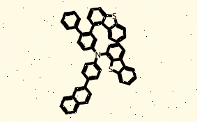 c1ccc(-c2ccc(N(c3ccc(-c4ccc5ccccc5c4)cc3)c3cccc4c3sc3ccccc34)cc2-c2cccc3sc4ccccc4c23)cc1